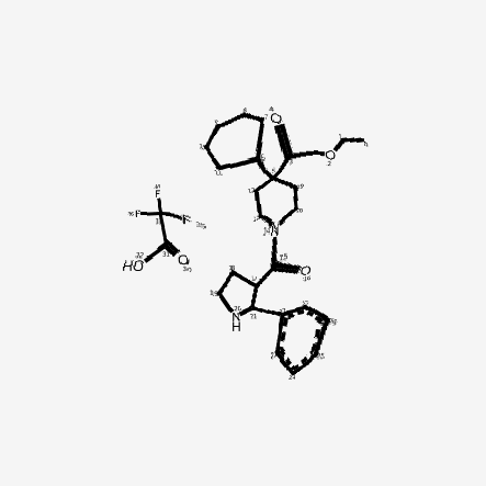 CCOC(=O)C1(C2CCCCC2)CCN(C(=O)C2CCNC2c2ccccc2)CC1.O=C(O)C(F)(F)F